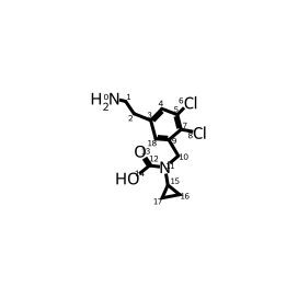 NCCc1cc(Cl)c(Cl)c(CN(C(=O)O)C2CC2)c1